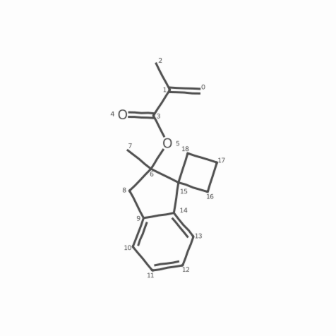 C=C(C)C(=O)OC1(C)Cc2ccccc2C12CCC2